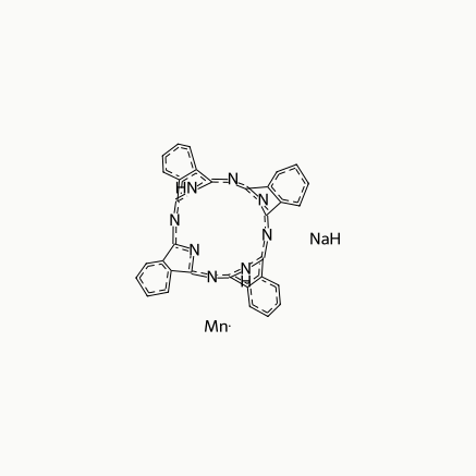 [Mn].[NaH].c1ccc2c(c1)-c1nc-2nc2[nH]c(nc3nc(nc4[nH]c(n1)c1ccccc41)-c1ccccc1-3)c1ccccc21